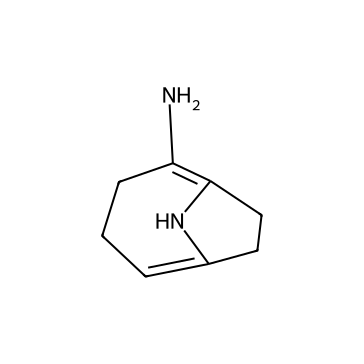 NC1=C2CCC(=CCC1)N2